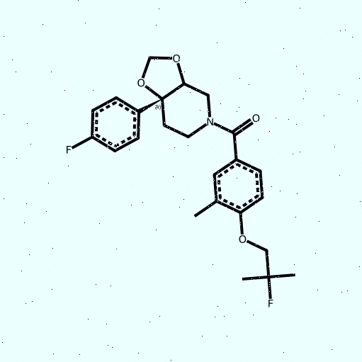 Cc1cc(C(=O)N2CC[C@]3(c4ccc(F)cc4)OCOC3C2)ccc1OCC(C)(C)F